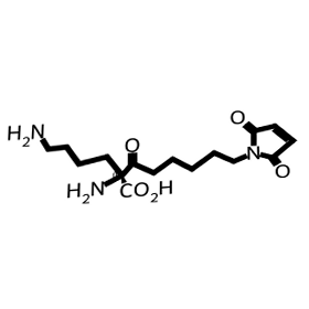 NCCCC[C@](N)(C(=O)O)C(=O)CCCCCN1C(=O)C=CC1=O